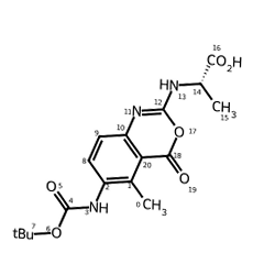 Cc1c(NC(=O)OC(C)(C)C)ccc2nc(N[C@@H](C)C(=O)O)oc(=O)c12